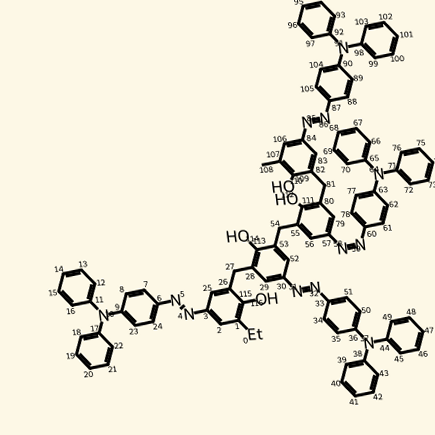 CCc1cc(N=Nc2ccc(N(c3ccccc3)c3ccccc3)cc2)cc(Cc2cc(N=Nc3ccc(N(c4ccccc4)c4ccccc4)cc3)cc(Cc3cc(N=Nc4ccc(N(c5ccccc5)c5ccccc5)cc4)cc(Cc4cc(N=Nc5ccc(N(c6ccccc6)c6ccccc6)cc5)cc(C)c4O)c3O)c2O)c1O